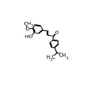 COc1ccc(/C=C/C(=O)c2ccc(C(C)C)cc2)cc1O